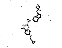 CC(NC(=O)[C@@H]1C[C@H]1c1ccc2ccn(CC3(C)COC3)c2c1)c1ccc(OCC2CC2)cn1